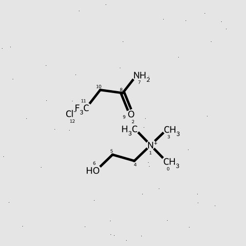 C[N+](C)(C)CCO.NC(=O)CC(F)(F)F.[Cl-]